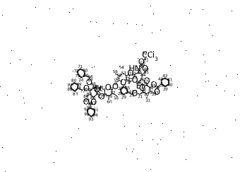 CCC1O[C@@H](OCC2O[C@H](F)C(O[C@@H]3OC(CC)[C@@H](O[C@@H]4OC(COCc5ccccc5)[C@H](C)[C@H](C)C4OC(=O)c4ccccc4)[C@H](C)C3NC(=O)OCC(Cl)(Cl)Cl)[C@@H](C)[C@@H]2C)C(C)[C@@H](C)[C@@H]1O[C@@H]1OC(COCc2ccccc2)[C@H](OCc2ccccc2)[C@H](C)C1OC(=O)c1ccccc1